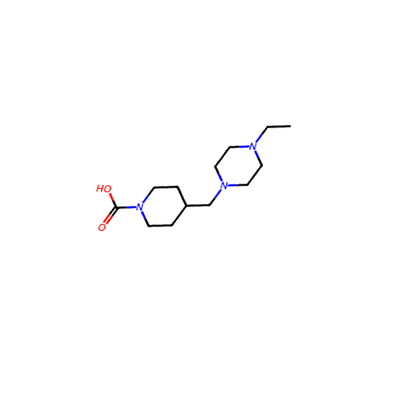 CCN1CCN(CC2CCN(C(=O)O)CC2)CC1